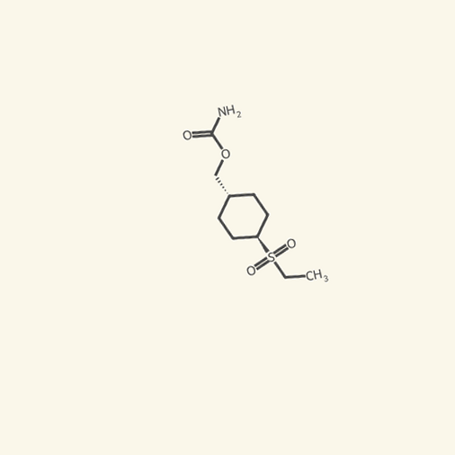 CCS(=O)(=O)[C@H]1CC[C@H](COC(N)=O)CC1